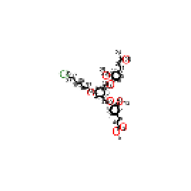 COC(=O)/C=C/c1ccc(OCC2CC(COc3ccc(/C=C/C(C)=O)cc3OC)CC(OCCCCCCCl)C2)c(OC)c1